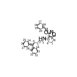 C(CCCNC1CCCc2onc(OCc3ccccc3)c21)=C(c1ccccc1)c1ccccc1